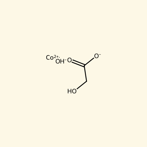 O=C([O-])CO.[Co+2].[OH-]